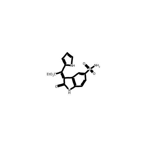 CCOC(=O)C(=C1C(=O)Nc2ccc(S(N)(=O)=O)cc21)c1ccc[nH]1